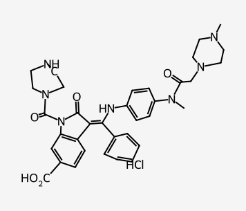 CN1CCN(CC(=O)N(C)c2ccc(N/C(=C3\C(=O)N(C(=O)N4CCNCC4)c4cc(C(=O)O)ccc43)c3ccccc3)cc2)CC1.Cl